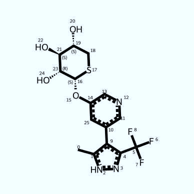 Cc1[nH]nc(C(F)(F)F)c1-c1cncc(O[C@H]2SC[C@@H](O)[C@H](O)[C@H]2O)c1